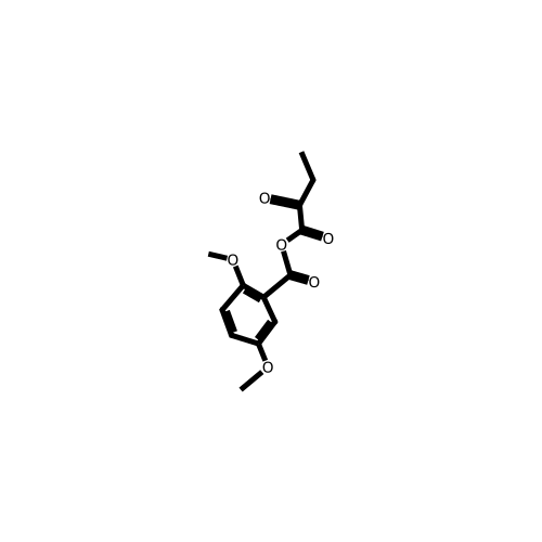 CCC(=O)C(=O)OC(=O)c1cc(OC)ccc1OC